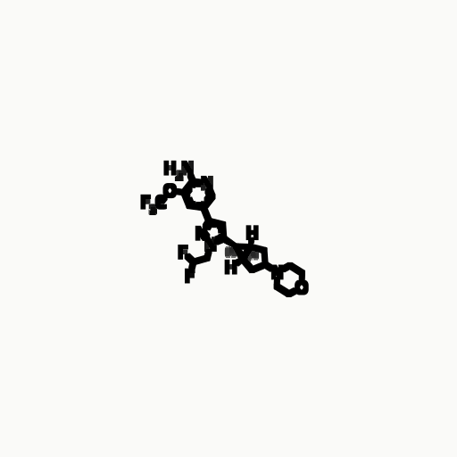 Nc1ncc(-c2cc([C@H]3[C@@H]4CC(N5CCOCC5)C[C@@H]43)n(CC(F)F)n2)cc1OC(F)(F)F